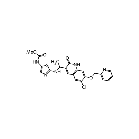 COC(=O)Nc1cnc(NC(C)c2cc3cc(Cl)c(OCc4ccccn4)cc3[nH]c2=O)s1